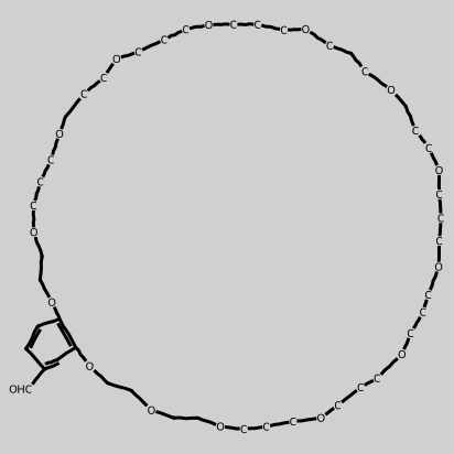 O=Cc1ccc2c(c1)OCCOCCOCCCOCCCOCCCOCCCOCCCOCCCOCCCOCCCOCCCOCCCOCCO2